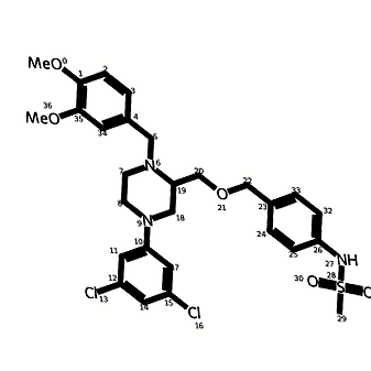 COc1ccc(CN2CCN(c3cc(Cl)cc(Cl)c3)CC2COCc2ccc(NS(C)(=O)=O)cc2)cc1OC